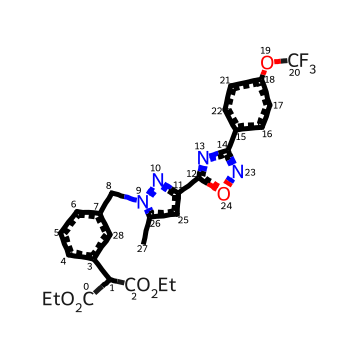 CCOC(=O)C(C(=O)OCC)c1cccc(Cn2nc(-c3nc(-c4ccc(OC(F)(F)F)cc4)no3)cc2C)c1